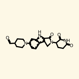 O=CC1CCN(c2ccc3c4c([nH]c3c2)C(=O)N(C2CCC(=O)NC2=O)C4)CC1